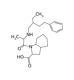 CCC(CCc1ccccc1)CNC(C)C(=O)N1C(C(=O)O)CC2CCCCC21